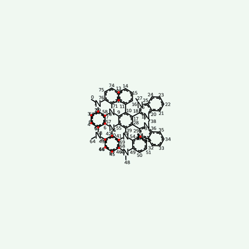 CN1c2ccccc2N(c2c(-c3ccccc3)c(-c3nc4ccccc4n3C)c(-c3nc4ccccc4n3C)c(N3c4ccccc4N(C)c4ccccc43)c2N2c3ccccc3N(C)c3ccccc32)c2ccccc21